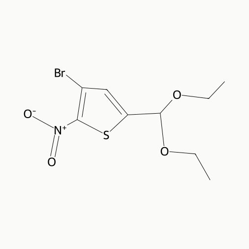 CCOC(OCC)c1cc(Br)c([N+](=O)[O-])s1